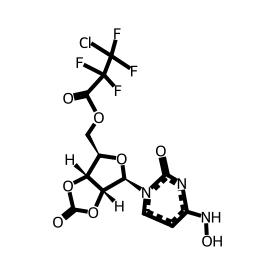 O=C1O[C@@H]2[C@H](O1)[C@@H](COC(=O)C(F)(F)C(F)(F)Cl)O[C@H]2n1ccc(NO)nc1=O